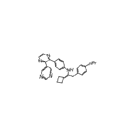 CCCc1ccc(CC(Nc2ccc(-c3nccnc3-c3cncnc3)cc2)=C2CCC2)cc1